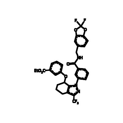 CCOC(=O)c1cccc(OC2CCCc3c(C(F)(F)F)nn(-c4cccc(C(=O)NCc5ccc6c(c5)OC(F)(F)O6)c4)c32)c1